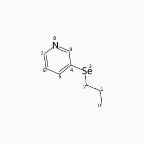 CCC[Se]c1c[c]cnc1